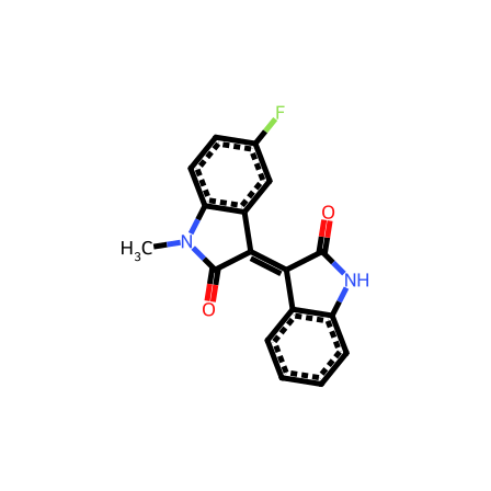 CN1C(=O)/C(=C2/C(=O)Nc3ccccc32)c2cc(F)ccc21